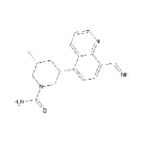 C[C@@H]1C[C@H](c2ccc(C=N)c3ncccc23)CN(C(N)=O)C1